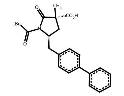 CC(C)(C)C(=O)N1C(=O)[C@](C)(C(=O)O)C[C@H]1Cc1ccc(-c2ccccc2)cc1